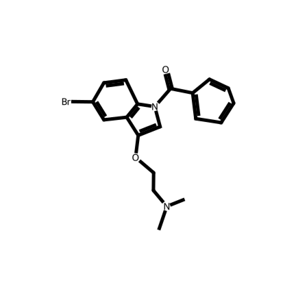 CN(C)CCOc1cn(C(=O)c2ccccc2)c2ccc(Br)cc12